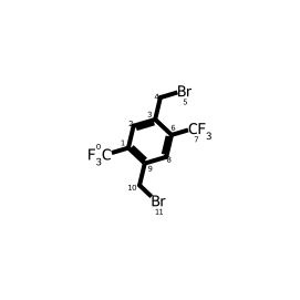 FC(F)(F)c1cc(CBr)c(C(F)(F)F)cc1CBr